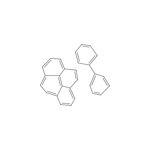 c1cc2ccc3cccc4ccc(c1)c2c34.c1ccc(-c2ccccc2)cc1